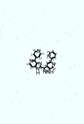 c1ccc(-c2cc3c(-c4nc5c(-c6ccncc6)nccc5[nH]4)n[nH]c3cn2)nc1